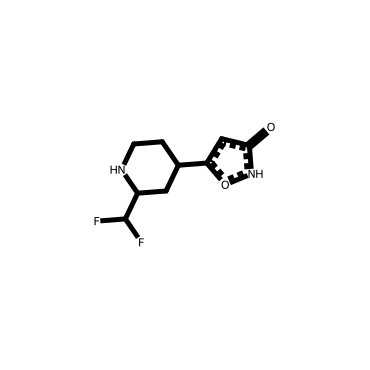 O=c1cc(C2CCNC(C(F)F)C2)o[nH]1